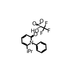 CC(C)c1cccc(=O)n1-c1ccccc1.O=S(=O)(O)C(F)(F)F